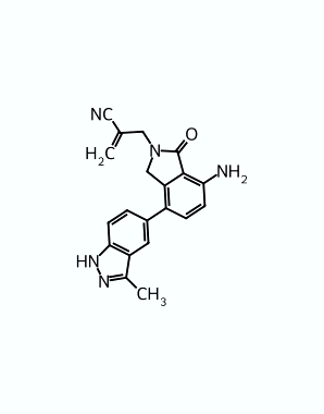 C=C(C#N)CN1Cc2c(-c3ccc4[nH]nc(C)c4c3)ccc(N)c2C1=O